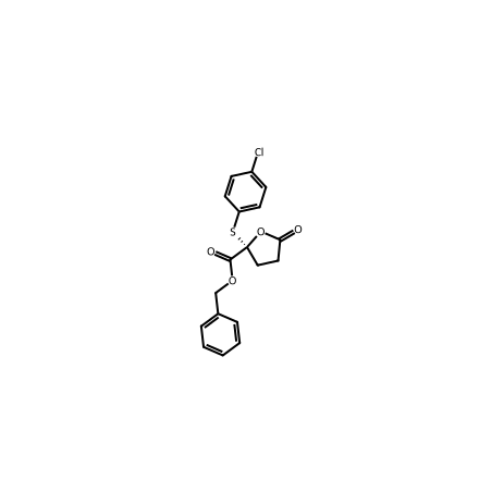 O=C1CC[C@@](Sc2ccc(Cl)cc2)(C(=O)OCc2ccccc2)O1